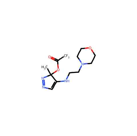 CC1(OC(=O)C(F)(F)F)N=NC=C1NCCN1CCOCC1